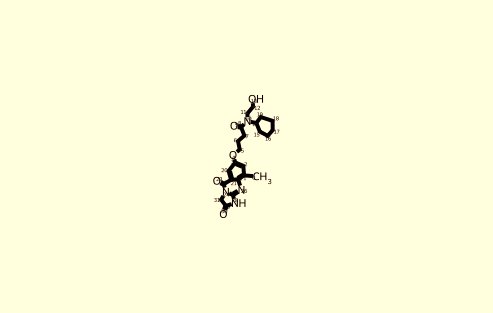 Cc1cc(OCCCC(=O)N(CCO)C2CCCCC2)cc2c(=O)n3c(nc12)NC(=O)C3